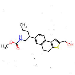 CCCC(CNC(=O)OC)c1ccc2c(c1)CCc1sc(CO)cc1-2